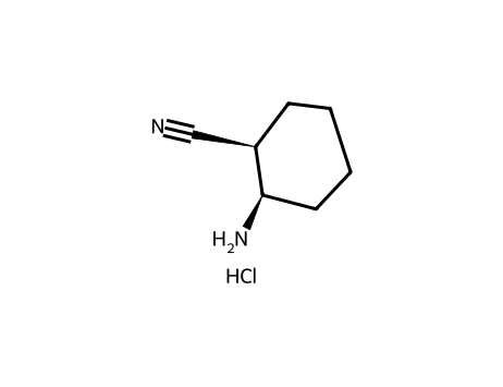 Cl.N#C[C@H]1CCCC[C@H]1N